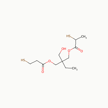 CCC(CO)(COC(=O)CCS)COC(=O)C(C)S